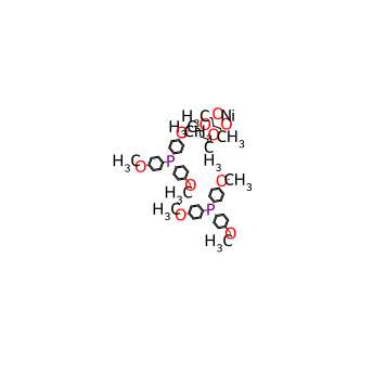 CC(=O)CC(C)=O.CC(=O)CC(C)=O.COc1ccc(P(c2ccc(OC)cc2)c2ccc(OC)cc2)cc1.COc1ccc(P(c2ccc(OC)cc2)c2ccc(OC)cc2)cc1.[Ni]